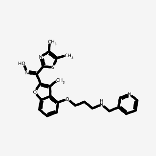 Cc1nc(/C(=N\O)c2oc3cccc(OCCCNCc4cccnc4)c3c2C)sc1C